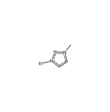 CC[n+]1ccn(C)n1